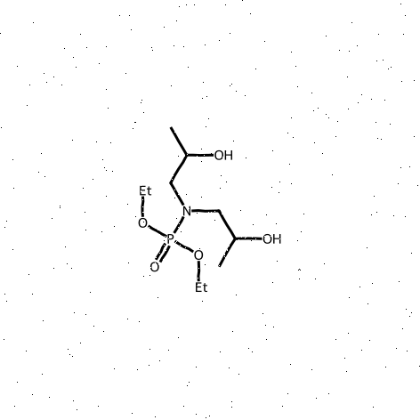 CCOP(=O)(OCC)N(CC(C)O)CC(C)O